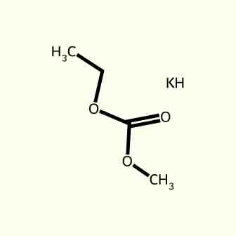 CCOC(=O)OC.[KH]